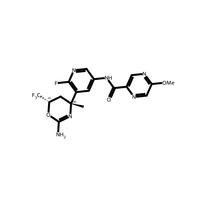 COc1cnc(C(=O)Nc2cnc(F)c([C@@]3(C)C[C@@H](C(F)(F)F)OC(N)=N3)c2)cn1